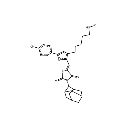 O=C1/C(=C/c2sc(-c3ccc(Cl)cc3)cc2CCCCCNCl)SC(=S)N1C1C2CC3CC(C2)CC1C3